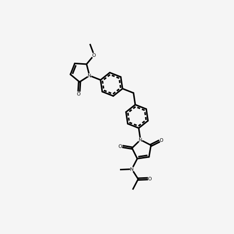 COC1C=CC(=O)N1c1ccc(Cc2ccc(N3C(=O)C=C(N(C)C(C)=O)C3=O)cc2)cc1